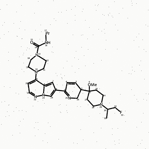 COC1(C2C=CC(c3cc4c(N5CCN(C(=O)NC(C)C)CC5)ccnn4c3)=NC2)CCN(C(C)CF)CC1